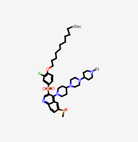 CCCCCCCCCCCCCCCCCCCCOc1ccc(S(=O)(=O)c2cnc3ccc([S+](C)[O-])cc3c2N2CCC(N3CCN(C4CCN(CC)CC4)CC3)CC2)cc1F